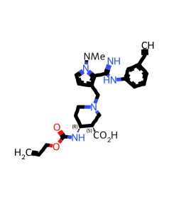 C#Cc1cccc(NC(=N)c2c(CN3CC[C@@H](NC(=O)OCC=C)[C@@H](C(=O)O)C3)ccn2NC)c1